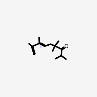 C=C(C)/C(C)=C/CC(C)(C)C(=O)C(C)C